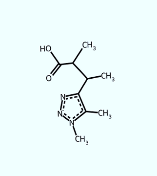 Cc1c(C(C)C(C)C(=O)O)nnn1C